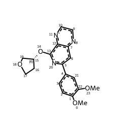 COc1ccc(-c2cc3nccnc3c(O[C@@H]3CCOC3)n2)cc1OC